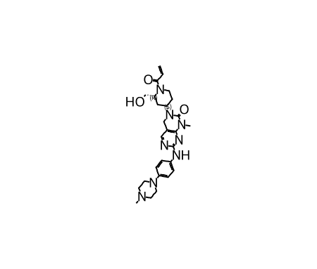 C=CC(=O)N1CC[C@H](N2Cc3cnc(Nc4ccc(N5CCN(C)CC5)cc4)nc3N(C)C2=O)C[C@@H]1CO